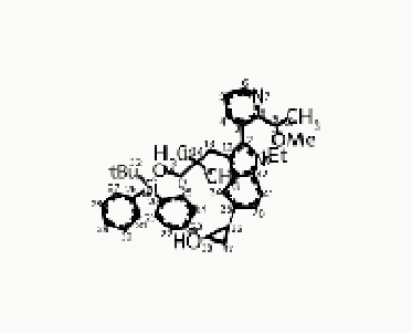 CCn1c(-c2cccnc2[C@H](C)OC)c(CC(C)(C)CO[Si](c2ccccc2)(c2ccccc2)C(C)(C)C)c2cc([C@H]3C[C@@H]3O)ccc21